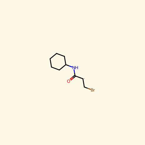 O=C([CH]CBr)NC1CCCCC1